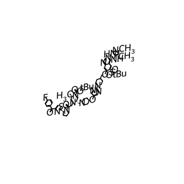 Cc1n[nH]c(Nc2ncnc3cc(OCC4CCN(c5ncc(OC6CCN(C[C@H]7CN(C(=O)OC(C)(C)C)[C@H](C)CN7CC(=O)N7CCC[C@H]7c7nc(C(=O)c8ccc(F)cc8)cs7)CC6)cn5)CC4)c(S(=O)(=O)C(C)(C)C)cc23)c1C